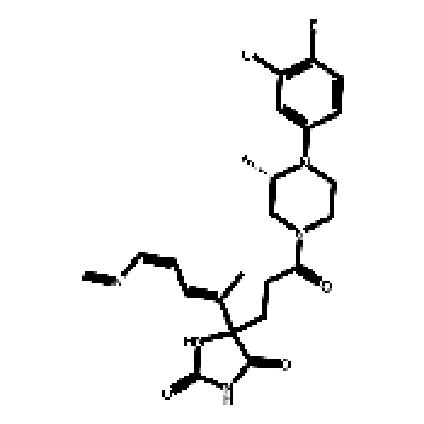 C=N/C=C\C=C(/C)C1(CCC(=O)N2CCN(c3ccc(F)c(Cl)c3)[C@@H](C)C2)NC(=O)NC1=O